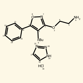 CCCCc1c(OCCN)noc1-c1ccccc1.Cl.c1c[nH]nn1